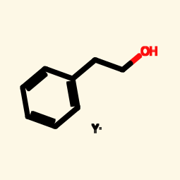 OCCc1ccccc1.[Y]